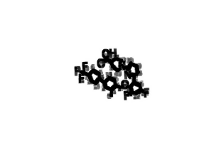 Cc1cc(-c2ccc(C(F)(F)F)cc2)ccc1COc1c(F)cc(F)cc1-c1cccc(N2CCC(C(=O)O)CC2)n1